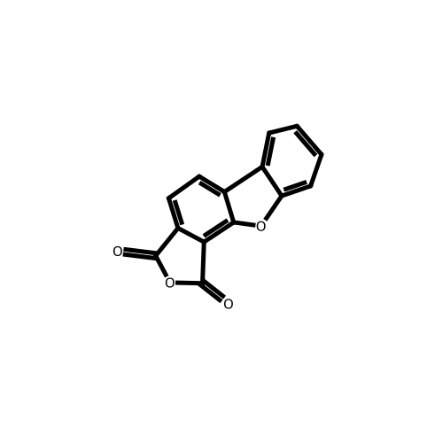 O=C1OC(=O)c2c1ccc1c2oc2ccccc21